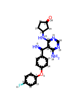 N=C(c1ccc(Oc2ccc(F)cc2)cc1)c1c(N)ncnc1NC1CCC(=O)C1